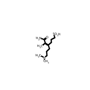 CC(C(N)=O)=C(CCCN(C)C)CCCS(=O)(=O)O